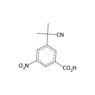 CC(C)(C#N)c1cc(C(=O)O)cc([N+](=O)[O-])c1